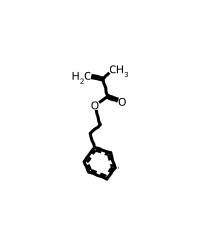 C=C(C)C(=O)OCCc1c[c]ccc1